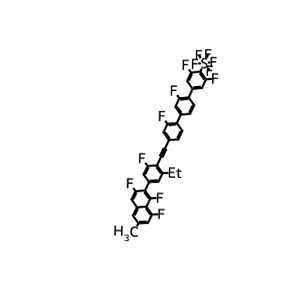 CCc1cc(-c2c(F)cc3cc(C)cc(F)c3c2F)cc(F)c1C#Cc1ccc(-c2ccc(-c3cc(F)c(S(F)(F)(F)(F)F)c(F)c3)c(F)c2)c(F)c1